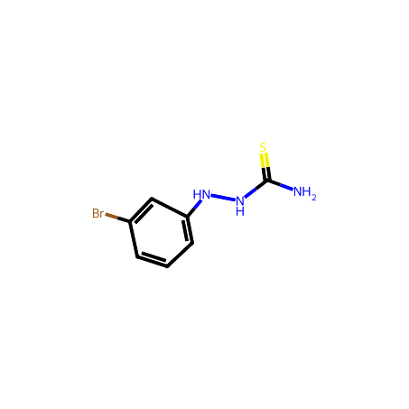 NC(=S)NNc1cccc(Br)c1